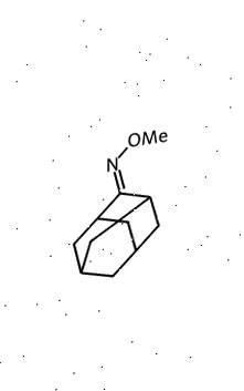 CON=C1C2CC3CC(C2)CC1C3